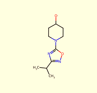 CC(C)c1noc(N2CCC([O])CC2)n1